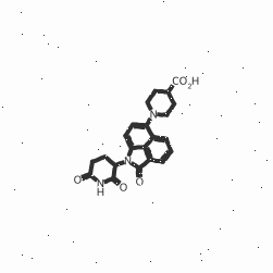 O=C1CCC(N2C(=O)c3cccc4c(N5CCC(C(=O)O)CC5)ccc2c34)C(=O)N1